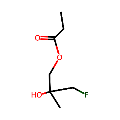 CCC(=O)OCC(C)(O)CF